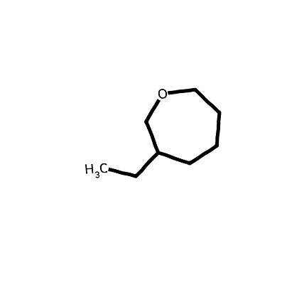 CCC1CCCCOC1